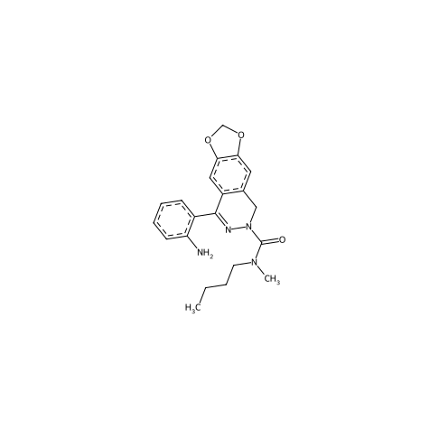 CCCCN(C)C(=O)N1Cc2cc3c(cc2C(c2ccccc2N)=N1)OCO3